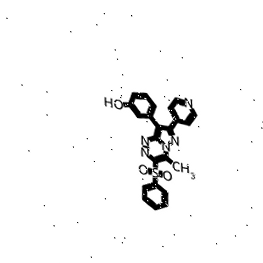 Cc1c(S(=O)(=O)c2ccccc2)nnc2c(-c3cccc(O)c3)c(-c3ccncc3)nn12